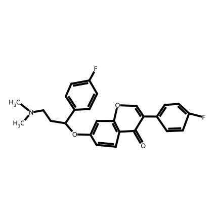 CN(C)CCC(Oc1ccc2c(=O)c(-c3ccc(F)cc3)coc2c1)c1ccc(F)cc1